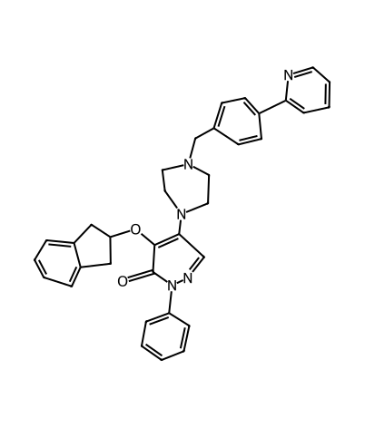 O=c1c(OC2Cc3ccccc3C2)c(N2CCN(Cc3ccc(-c4ccccn4)cc3)CC2)cnn1-c1ccccc1